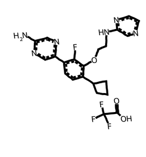 Nc1cnc(-c2ccc(C3CCC3)c(OCCNc3cnccn3)c2F)cn1.O=C(O)C(F)(F)F